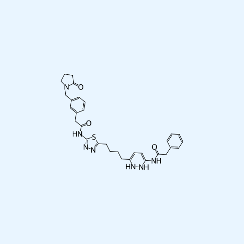 O=C(Cc1ccccc1)NC1=CC=C(CCCCc2nnc(NC(=O)Cc3cccc(CN4CCCC4=O)c3)s2)NN1